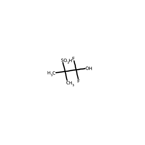 CC(C)(C(O)(F)F)S(=O)(=O)O